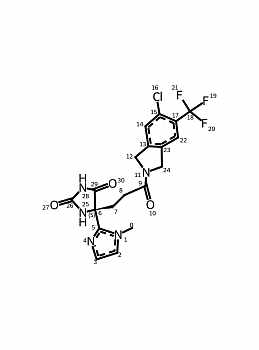 Cn1ccnc1[C@]1(CCC(=O)N2Cc3cc(Cl)c(C(F)(F)F)cc3C2)NC(=O)NC1=O